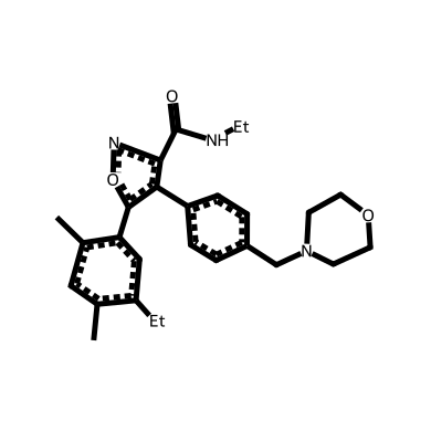 CCNC(=O)c1noc(-c2cc(CC)c(C)cc2C)c1-c1ccc(CN2CCOCC2)cc1